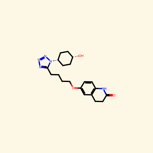 O=C1CCc2cc(OCCCCc3nnnn3[C@H]3CC[C@@H](O)CC3)ccc2N1